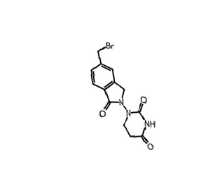 O=C1CCN(N2Cc3cc(CBr)ccc3C2=O)C(=O)N1